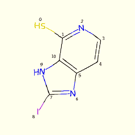 Sc1nccc2nc(I)[nH]c12